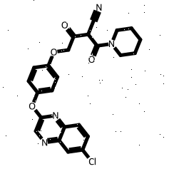 N#CC(C(=O)COc1ccc(Oc2cnc3cc(Cl)ccc3n2)cc1)C(=O)N1CCCCC1